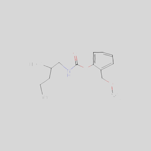 CC(C)CCC(CNC(=O)Oc1ccccc1CO[N+](=O)[O-])C(=O)O